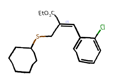 CCOC(=O)/C(=C/c1ccccc1Cl)CSC1CCCCC1